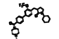 CN1CCN(C(=O)c2ccc(-c3ccc(CC4CCN(C5CCCCC5)C4=O)c(OC(F)(F)F)c3)cc2)CC1